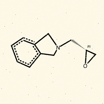 c1ccc2c(c1)CN(C[C@@H]1CO1)C2